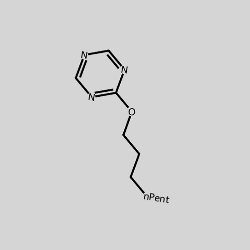 CCCCCCCCOc1ncncn1